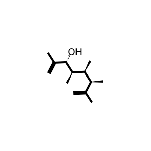 C=C(C)[C@H](C)[C@H](C)[C@@H](C)[C@@H](O)C(=C)C